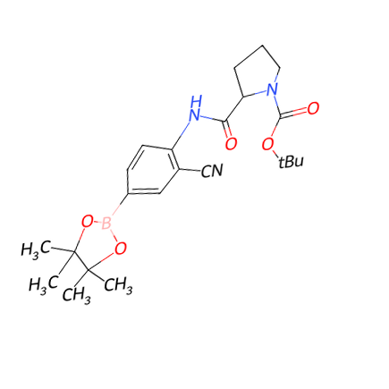 CC(C)(C)OC(=O)N1CCCC1C(=O)Nc1ccc(B2OC(C)(C)C(C)(C)O2)cc1C#N